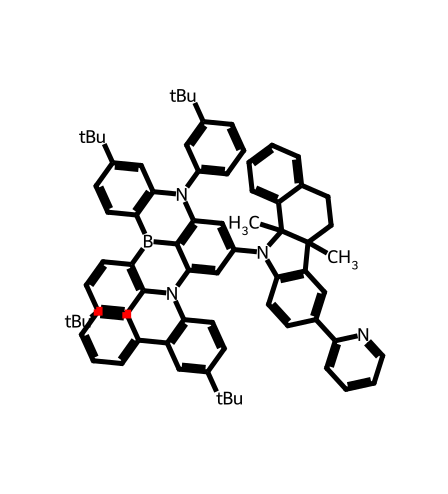 CC(C)(C)c1cccc(N2c3cc(C(C)(C)C)ccc3B3c4ccc(C(C)(C)C)cc4N(c4ccc(C(C)(C)C)cc4-c4ccccc4)c4cc(N5c6ccc(-c7ccccn7)cc6C6(C)CCc7ccccc7C56C)cc2c43)c1